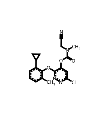 Cc1cccc(C2CC2)c1Oc1nnc(Cl)cc1OC(=O)N(C)CC#N